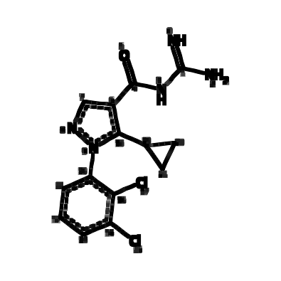 N=C(N)NC(=O)c1cnn(-c2cccc(Cl)c2Cl)c1C1CC1